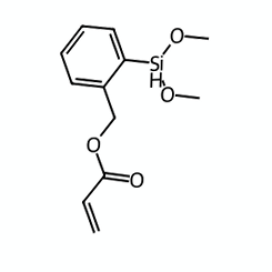 C=CC(=O)OCc1ccccc1[SiH](OC)OC